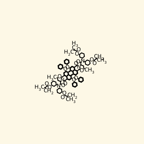 C=C(C)C(=O)OC1CCCC(N(C(=O)C(CCC)N2C(=O)c3cc(Oc4ccccc4)c4c5c(Oc6ccccc6)cc6c7c(cc(Oc8ccccc8)c(c8c(Oc9ccccc9)cc(c3c48)C2=O)c75)C(=O)N(C(CCC)C(=O)N(C2CCCC(OC(=O)C(=C)C)C2)C2CCCC(OC(=O)C(=C)C)C2)C6=O)C2CCCC(OC(=O)C(=C)C)C2)C1